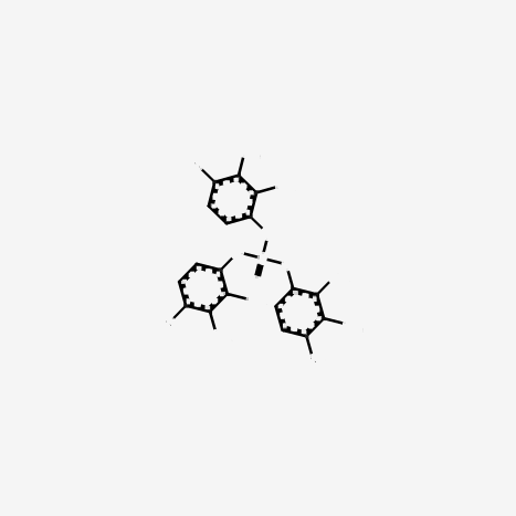 Cc1c(OP(=O)(Oc2ccc([N+](=O)[O-])c(C)c2C)Sc2ccc([N+](=O)[O-])c(C)c2C)ccc([N+](=O)[O-])c1C